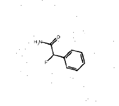 NC(=O)C(F)c1ccccc1